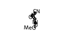 COCCOc1cnc(-c2cccc(Cc3nn(-c4cccc(C#N)c4)ccc3=O)c2)nc1